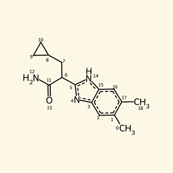 Cc1cc2nc(C(CC3CC3)C(N)=O)[nH]c2cc1C